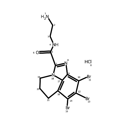 Cl.NCCNC(=O)c1nc2c(Br)c(Br)c(Br)c3c2n1CCC3